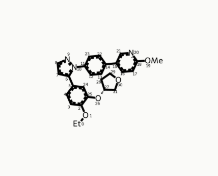 CCOc1ccc(-c2ccnn2-c2ccc(-c3ccc(OC)nc3)cc2)cc1O[C@@H]1CCOC1